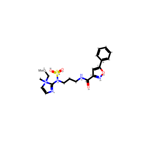 COC[N+]1(C)C=CN=C1N(CCCNC(=O)c1cc(-c2ccccc2)on1)[SH](=O)=O